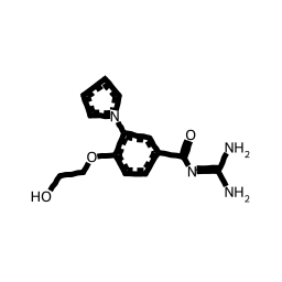 NC(N)=NC(=O)c1ccc(OCCO)c(-n2cccc2)c1